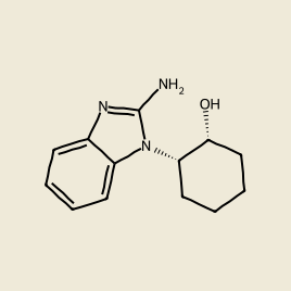 Nc1nc2ccccc2n1[C@H]1CCCC[C@H]1O